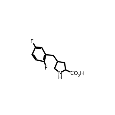 O=C(O)C1CC(Cc2cc(F)ccc2F)CN1